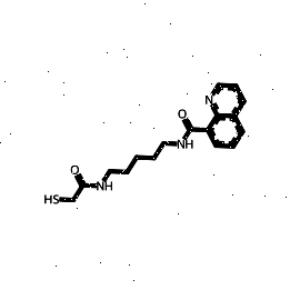 O=C(CS)NCCCCCNC(=O)c1cccc2cccnc12